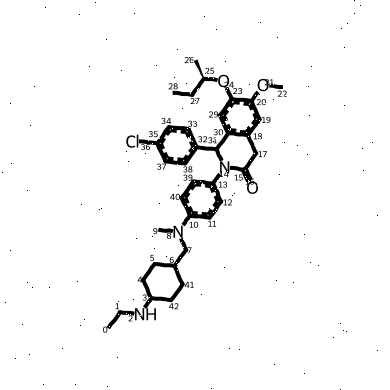 CCNC1CCC(CN(C)c2ccc(N3C(=O)Cc4cc(OC)c(O[C@H](C)CC)cc4C3c3ccc(Cl)cc3)cc2)CC1